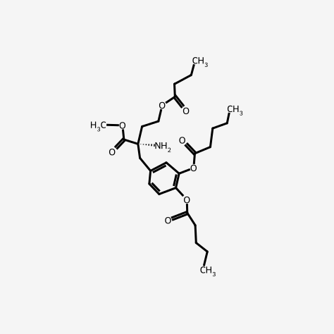 CCCCC(=O)Oc1ccc(C[C@](N)(CCOC(=O)CCC)C(=O)OC)cc1OC(=O)CCCC